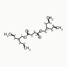 C=CCC(CC=C)COC(=O)CCC(=O)OCC(CC=C)CC=C